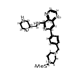 CSN1CCN(Cc2ccc(-c3cc4nccnc4c(NC[C@@H]4CNCCO4)n3)cc2)CC1